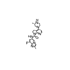 Cc1cn2cc(NC(=O)N3CCc4c(N5CCN[C@H](C)C5)ccnc43)cc(F)c2n1